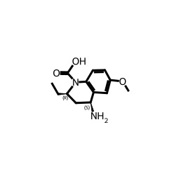 CC[C@@H]1C[C@H](N)c2cc(OC)ccc2N1C(=O)O